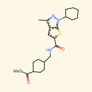 COC(=O)C1CCC(CNC(=O)c2cc3c(C)nn(C4CCCCC4)c3s2)CC1